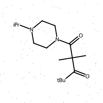 CC(C)N1CCN(C(=O)C(C)(C)C(=O)C(C)(C)C)CC1